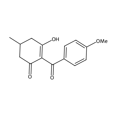 COc1ccc(C(=O)C2=C(O)CC(C)CC2=O)cc1